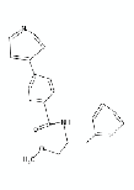 COCC(Cc1ccccc1)NC(=O)c1ccc(-c2ccncc2)cc1